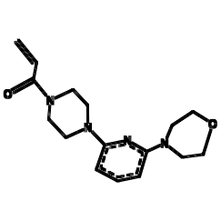 C=CC(=O)N1CCN(c2cccc(N3CCOCC3)n2)CC1